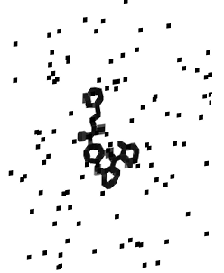 Cc1cccnc1C1=Nc2cc(C(=O)NCCc3cccnc3)ccc2Sc2ccccc21